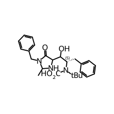 CC1NC(C(O)[C@H](Cc2ccccc2)N(C(=O)O)C(C)(C)C)C(=O)N1Cc1ccccc1